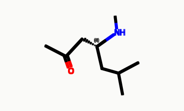 CN[C@@H](CC(C)=O)CC(C)C